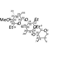 CCC1OCC(C)[C@@H](C)[C@@H]1O[C@@H]1OC(CC)[C@@H](O[C@@H]2OC(CC)[C@@H](OC)[C@H](C)C2C)[C@H](C)C1C